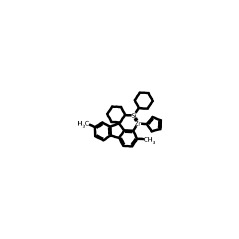 Cc1ccc2c(c1)Cc1c-2ccc(C)[c]1[Zr]([C]1=CC=CC1)=[Si](C1CCCCC1)C1CCCCC1